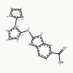 O=C(O)c1ccc2nc(Sc3nnnn3-c3nccs3)sc2c1